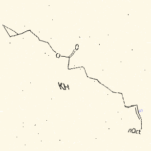 CCCCCCCC/C=C\CCCCCCCC(=O)OCCCC1CC1.[KH]